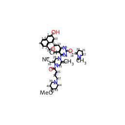 C#Cc1cccc2cc(O)cc([C@@H]3Cc4nc(OC[C@@H]5CCCN5C)nc(N5C[C@H](CC#N)N(C(=O)/C=C/CN6CCC(OC)CC6)C[C@@H]5C)c4CO3)c12